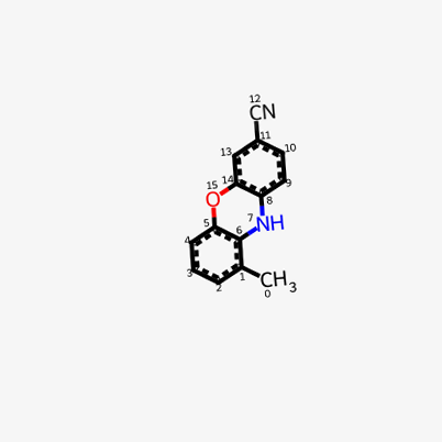 Cc1cccc2c1Nc1ccc(C#N)cc1O2